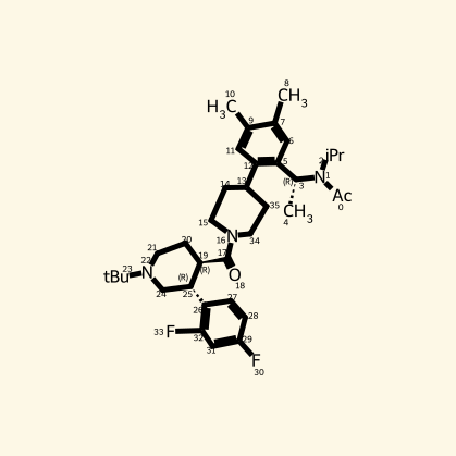 CC(=O)N(C(C)C)[C@H](C)c1cc(C)c(C)cc1C1CCN(C(=O)[C@@H]2CCN(C(C)(C)C)C[C@H]2c2ccc(F)cc2F)CC1